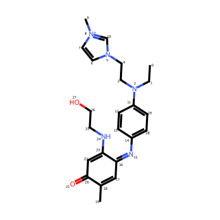 CCN(CCn1cc[n+](C)c1)c1ccc(/N=C2/C=C(C)C(=O)C=C2NCCO)cc1